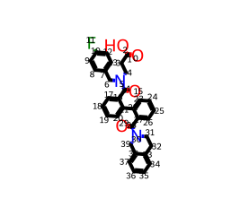 O=C(O)CCN(Cc1ccc(F)cc1)C(=O)c1ccccc1-c1ccccc1C(=O)N1CCc2ccccc2C1